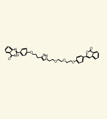 O=c1oc(-c2ccc(OCCOCCOCCn3cc(CCCOc4ccc(-c5nc6ccccc6c(=O)[nH]5)cc4)nn3)cc2)cc2ccccc12